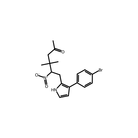 CC(=O)CC(C)(C)C(Cc1[nH]ccc1-c1ccc(Br)cc1)[N+](=O)[O-]